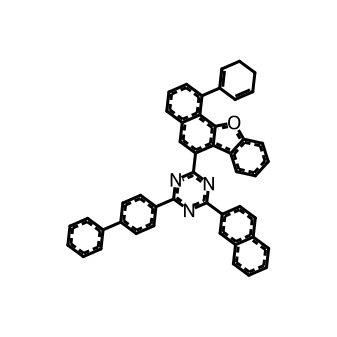 C1=CC(c2cccc3cc(-c4nc(-c5ccc(-c6ccccc6)cc5)nc(-c5ccc6ccccc6c5)n4)c4c5ccccc5oc4c23)=CCC1